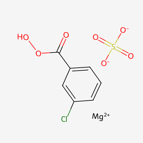 O=C(OO)c1cccc(Cl)c1.O=S(=O)([O-])[O-].[Mg+2]